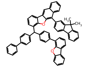 CC1(C)c2ccccc2-c2ccc(-c3c4ccccc4cc4c3oc3c(C(c5ccc(-c6ccccc6)cc5)c5ccc(-c6cccc7c6oc6ccccc67)cc5)cccc34)cc21